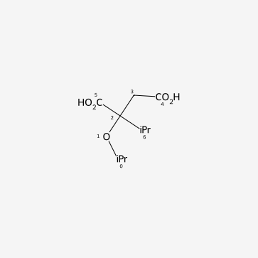 CC(C)OC(CC(=O)O)(C(=O)O)C(C)C